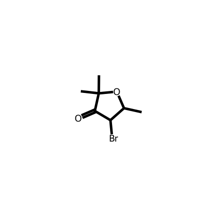 CC1OC(C)(C)C(=O)C1Br